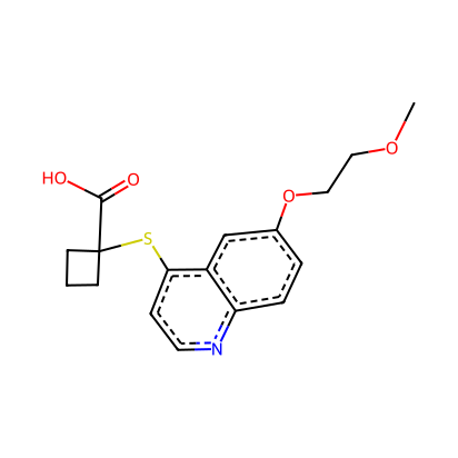 COCCOc1ccc2nccc(SC3(C(=O)O)CCC3)c2c1